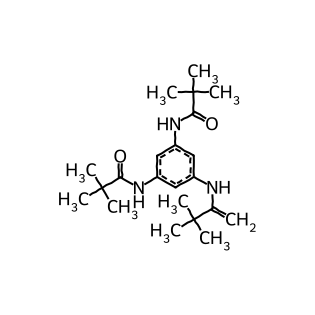 C=C(Nc1cc(NC(=O)C(C)(C)C)cc(NC(=O)C(C)(C)C)c1)C(C)(C)C